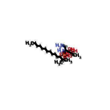 CCCCCCCCCCCC(OP(=O)(O)OC(O)(C(N)CN)C(C)(O)O)C(C)C